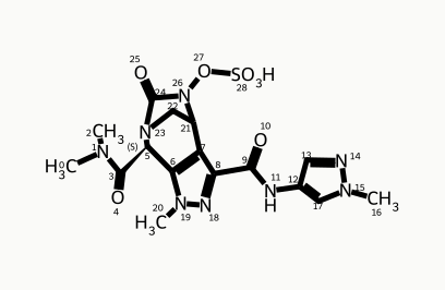 CN(C)C(=O)[C@@H]1c2c(c(C(=O)Nc3cnn(C)c3)nn2C)C2CN1C(=O)N2OS(=O)(=O)O